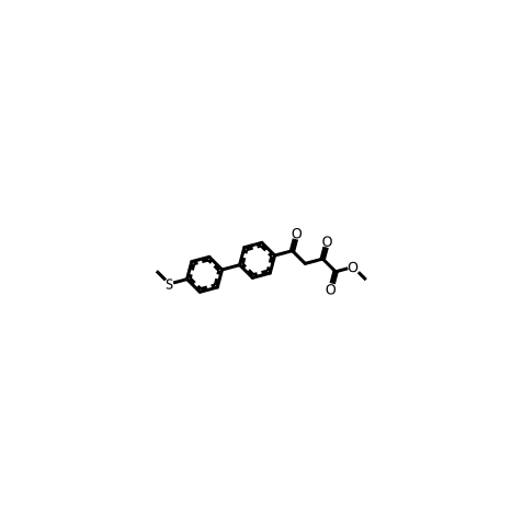 COC(=O)C(=O)CC(=O)c1ccc(-c2ccc(SC)cc2)cc1